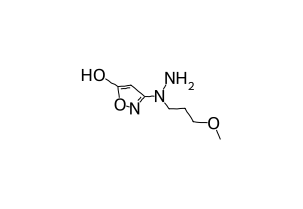 COCCCN(N)c1cc(O)on1